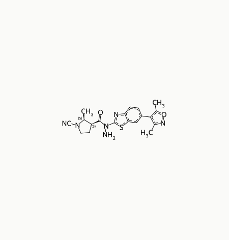 Cc1noc(C)c1-c1ccc2nc(N(N)C(=O)[C@H]3CCN(C#N)[C@H]3C)sc2c1